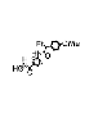 CCC(C(=O)Nc1ncc(C(=O)NO)s1)c1ccc(OC)cc1